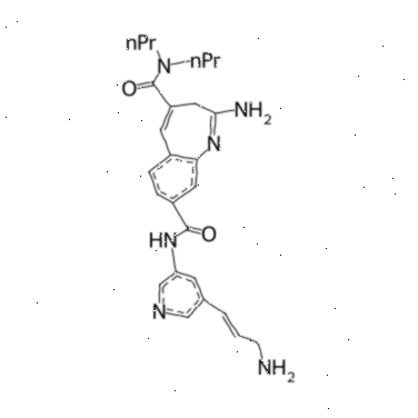 CCCN(CCC)C(=O)C1=Cc2ccc(C(=O)Nc3cncc(/C=C/CN)c3)cc2N=C(N)C1